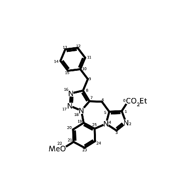 CCOC(=O)c1ncn2c1Cc1c(Cc3ccccc3)nnn1-c1cc(OC)ccc1-2